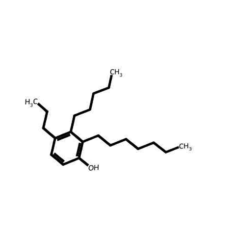 CCCCCCCc1c(O)ccc(CCC)c1CCCCC